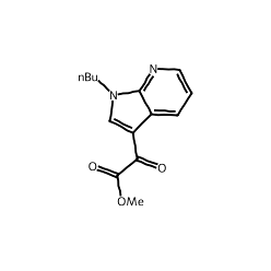 CCCCn1cc(C(=O)C(=O)OC)c2cccnc21